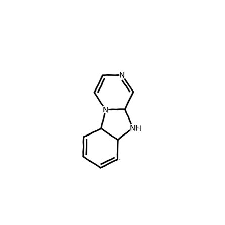 [C]1=CC=CC2C1NC1C=NC=CN12